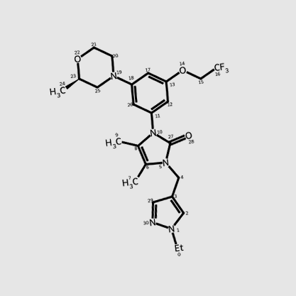 CCn1cc(Cn2c(C)c(C)n(-c3cc(OCC(F)(F)F)cc(N4CCO[C@H](C)C4)c3)c2=O)cn1